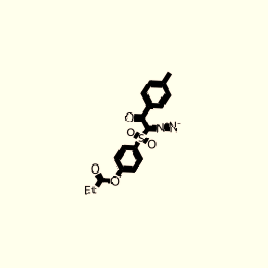 CCC(=O)Oc1ccc(S(=O)(=O)C(=[N+]=[N-])C(=O)c2ccc(C)cc2)cc1